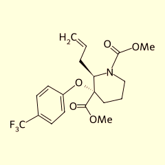 C=CC[C@H]1N(C(=O)OC)CCC[C@@]1(Oc1ccc(C(F)(F)F)cc1)C(=O)OC